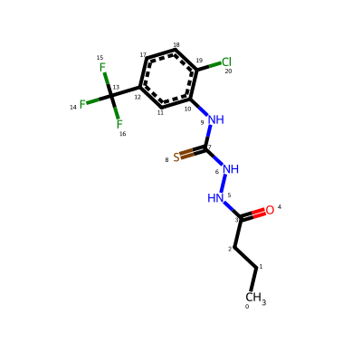 CCCC(=O)NNC(=S)Nc1cc(C(F)(F)F)ccc1Cl